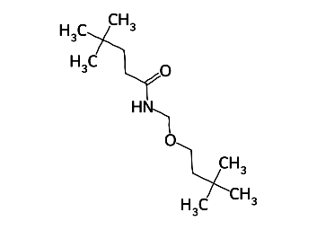 CC(C)(C)CCOCNC(=O)CCC(C)(C)C